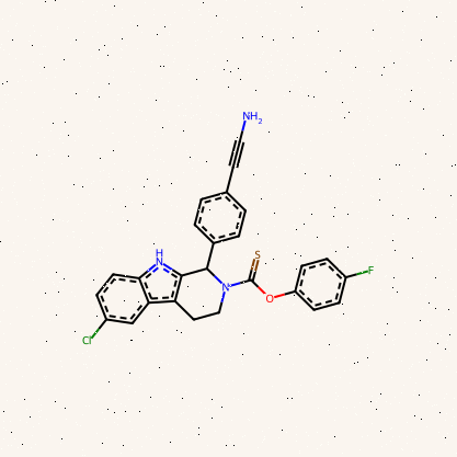 NC#Cc1ccc(C2c3[nH]c4ccc(Cl)cc4c3CCN2C(=S)Oc2ccc(F)cc2)cc1